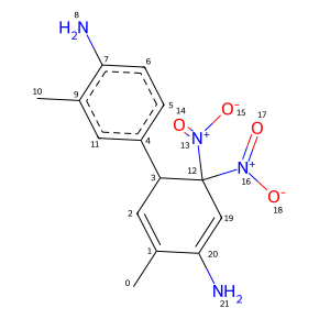 CC1=CC(c2ccc(N)c(C)c2)C([N+](=O)[O-])([N+](=O)[O-])C=C1N